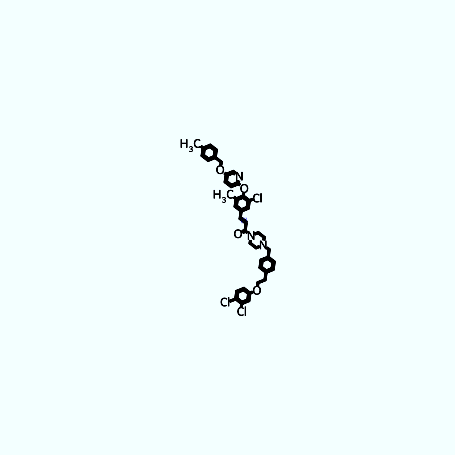 Cc1ccc(COc2ccc(Oc3c(C)cc(/C=C/C(=O)N4CCN(Cc5ccc(CCOc6ccc(Cl)c(Cl)c6)cc5)CC4)cc3Cl)nc2)cc1